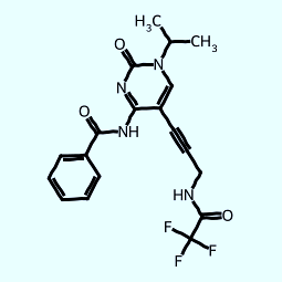 CC(C)n1cc(C#CCNC(=O)C(F)(F)F)c(NC(=O)c2ccccc2)nc1=O